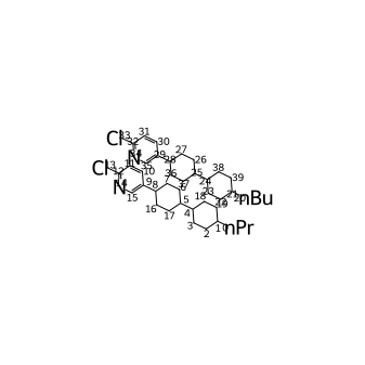 CCCC1CCC(C2CCC(c3ccc(Cl)nc3)CC2)CC1.CCCCC1CCC(C2CCC(c3ccc(Cl)nc3)CC2)CC1